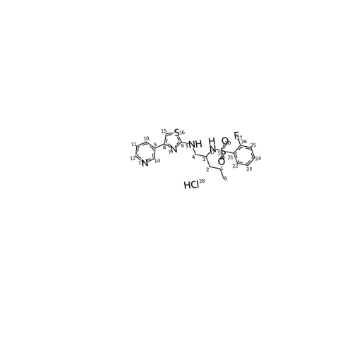 CCCC(CNc1nc(-c2cccnc2)cs1)NS(=O)(=O)c1ccccc1F.Cl